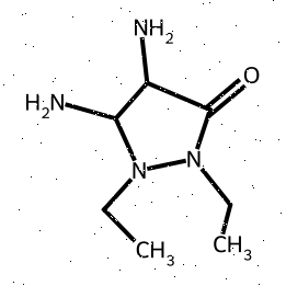 CCN1C(=O)C(N)C(N)N1CC